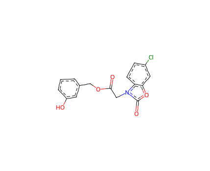 O=C(Cn1c(=O)oc2cc(Cl)ccc21)OCc1cccc(O)c1